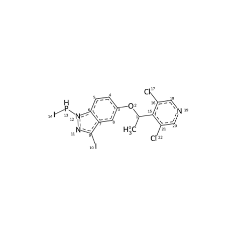 CC(Oc1ccc2c(c1)c(I)nn2PI)c1c(Cl)cncc1Cl